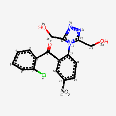 O=C(c1ccccc1Cl)c1cc([N+](=O)[O-])ccc1-n1c(CO)nnc1CO